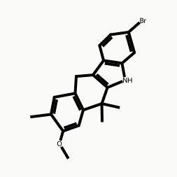 COc1cc2c(cc1C)Cc1c([nH]c3cc(Br)ccc13)C2(C)C